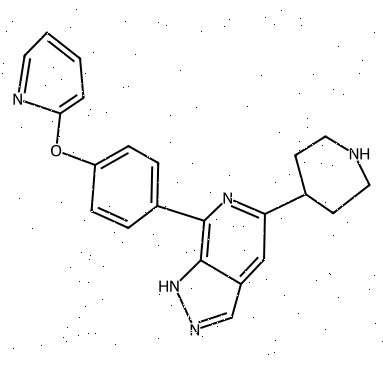 c1ccc(Oc2ccc(-c3nc(C4CCNCC4)cc4cn[nH]c34)cc2)nc1